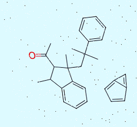 CC(=O)C1C(C)c2ccccc2C1(C)CC(C)(C)c1ccccc1.c1cc2cc-2c1